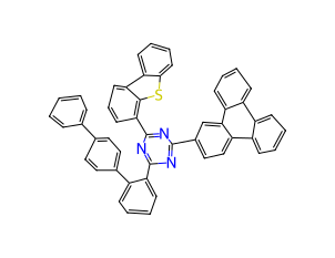 c1ccc(-c2ccc(-c3ccccc3-c3nc(-c4ccc5c6ccccc6c6ccccc6c5c4)nc(-c4cccc5c4sc4ccccc45)n3)cc2)cc1